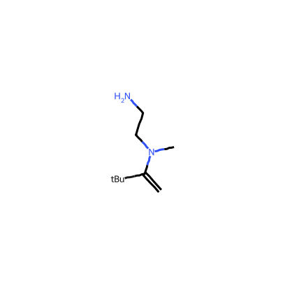 C=C(N(C)CCN)C(C)(C)C